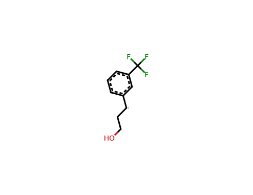 OCC[CH]c1cccc(C(F)(F)F)c1